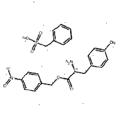 N[C@@H](Cc1ccc(O)cc1)C(=O)OCc1ccc([N+](=O)[O-])cc1.O=S(=O)(O)Cc1ccccc1